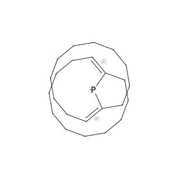 C1=C(\[P]/C2=C\CCCCCCCCCC2)CCCCCCCCCC/1